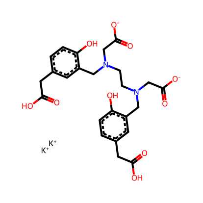 O=C([O-])CN(CCN(CC(=O)[O-])Cc1cc(CC(=O)O)ccc1O)Cc1cc(CC(=O)O)ccc1O.[K+].[K+]